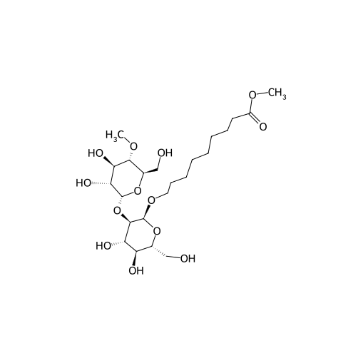 COC(=O)CCCCCCCCO[C@H]1O[C@H](CO)[C@@H](O)[C@H](O)[C@H]1O[C@H]1O[C@H](CO)[C@@H](OC)[C@H](O)[C@H]1O